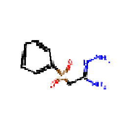 NN=C(N)CS(=O)(=O)c1ccccc1